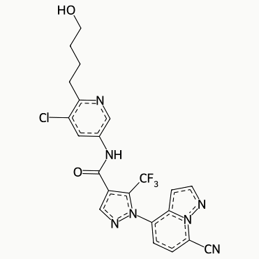 N#Cc1ccc(-n2ncc(C(=O)Nc3cnc(CCCCO)c(Cl)c3)c2C(F)(F)F)c2ccnn12